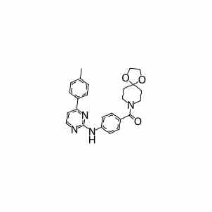 Cc1ccc(-c2ccnc(Nc3ccc(C(=O)N4CCC5(CC4)OCCO5)cc3)n2)cc1